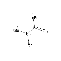 CCCC(=O)N(CC)C(C)(C)C